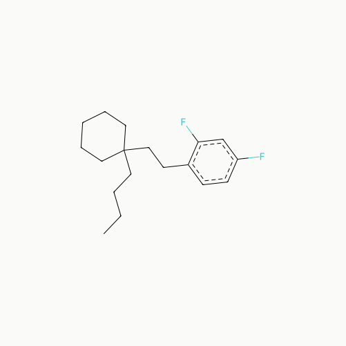 CCCCC1(CCc2ccc(F)cc2F)CCCCC1